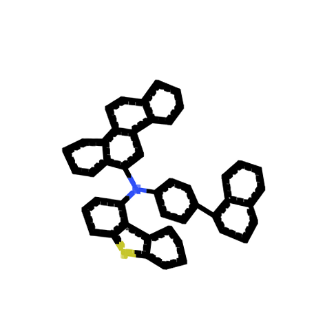 c1ccc2c(-c3ccc(N(c4cc5c6ccccc6ccc5c5ccccc45)c4cccc5sc6ccccc6c45)cc3)cccc2c1